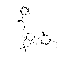 CC1(C)O[C@@H]2[C@H](O1)[C@@H](COC(=O)c1ccco1)O[C@H]2n1ccc(NO)nc1=O